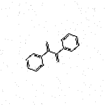 O=C(C(=S)c1ccccc1)c1ccccc1